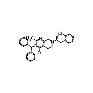 Cc1nc2c(c(=O)n1C(c1ccccc1)c1ccccc1)CCN(C(=O)Cc1ccccc1Cl)C2